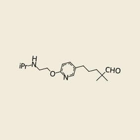 CC(C)NCCOc1ccc(CCCC(C)(C)C=O)cn1